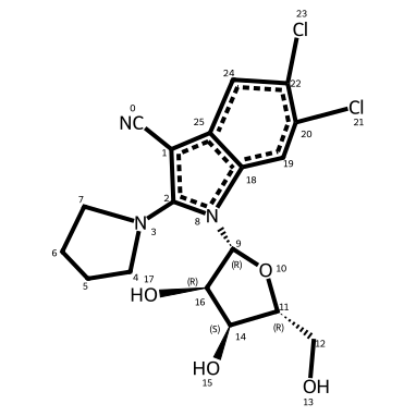 N#Cc1c(N2CCCC2)n([C@@H]2O[C@H](CO)[C@@H](O)[C@H]2O)c2cc(Cl)c(Cl)cc12